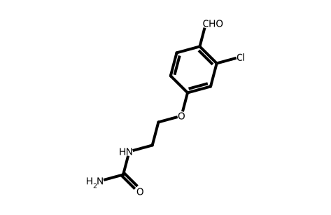 NC(=O)NCCOc1ccc(C=O)c(Cl)c1